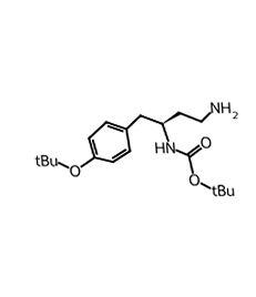 CC(C)(C)OC(=O)N[C@H](CCN)Cc1ccc(OC(C)(C)C)cc1